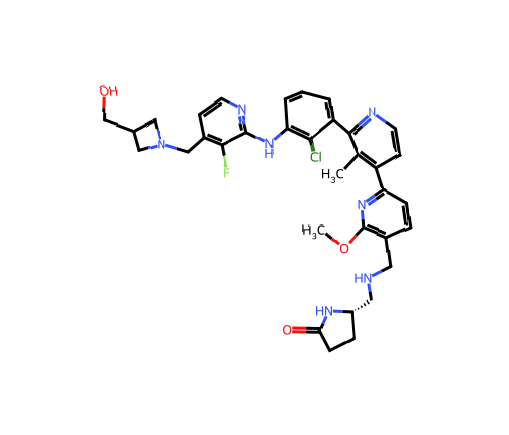 COc1nc(-c2ccnc(-c3cccc(Nc4nccc(CN5CC(CO)C5)c4F)c3Cl)c2C)ccc1CNC[C@@H]1CCC(=O)N1